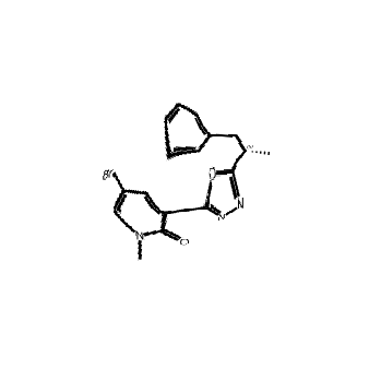 C[C@@H](Cc1ccccc1)c1nnc(-c2cc(Br)cn(C)c2=O)o1